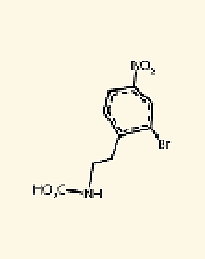 O=C(O)NCCc1ccc([N+](=O)[O-])cc1Br